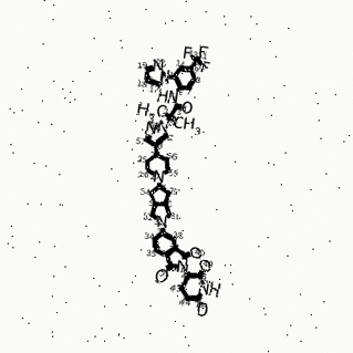 CC(C)(C(=O)Nc1ccc(C(F)(F)F)cc1-n1cccn1)n1cc(C2CCN(C3CC4CN(c5ccc6c(c5)C(=O)N(C5CCC(=O)NC5=O)C6=O)CC4C3)CC2)cn1